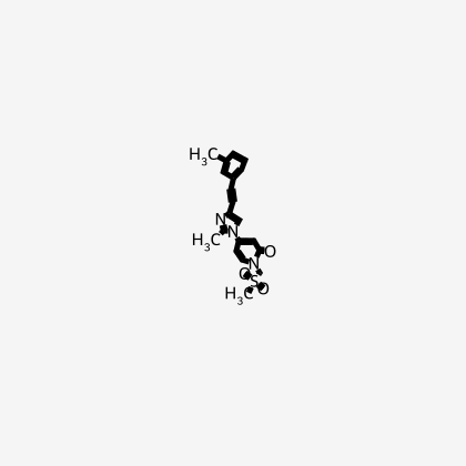 Cc1cccc(C#Cc2cn(-c3ccn(CS(C)(=O)=O)c(=O)c3)c(C)n2)c1